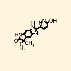 CC1(C)C(=O)Nc2cc3[nH]c(-c4ccc(O)nn4)nc3cc21